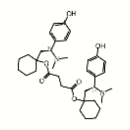 CN(C)[C@@H](CC1(OC(=O)CCC(=O)OC2(C[C@@H](c3ccc(O)cc3)N(C)C)CCCCC2)CCCCC1)c1ccc(O)cc1